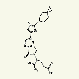 Cn1cc(-c2ccc3c(c2)CN(C(CCC(=O)O)C(N)=O)C3=O)nc1C1CCC2(CC1)CC2